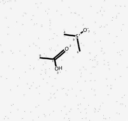 CC(=O)O.C[S+](C)[O-]